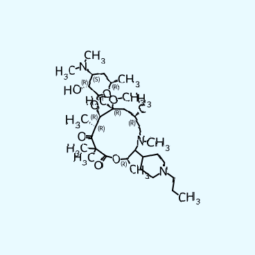 CCCN1CCC(C2[C@@H](C)OC(=O)C(C)(C)C(=O)[C@H](C)[C@@H](O[C@@H]3O[C@H](C)C[C@H](N(C)C)[C@H]3O)[C@](C)(OC)C[C@@H](C)CN2C)CC1